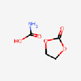 NC(=O)O.O=C1OCCO1